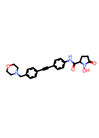 O=C(Nc1ccc(C#Cc2ccc(CN3CCOCC3)cc2)cc1)C1CCC(=O)N1O